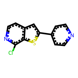 Clc1nccc2cc(-c3ccncc3)sc12